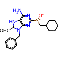 Nc1nc([S+]([O-])CC2CCCCC2)nc2c1NC(C=O)N2Cc1ccccc1